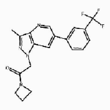 Cc1nn(CC(=O)N2CCC2)c2cc(-c3cccc(C(F)(F)F)c3)cnc12